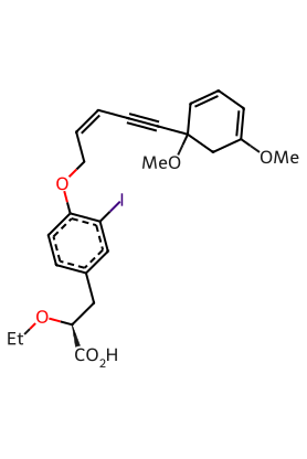 CCO[C@@H](Cc1ccc(OC/C=C\C#CC2(OC)C=CC=C(OC)C2)c(I)c1)C(=O)O